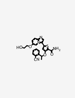 CC(Oc1cc(-c2cnc3ccc(OCCO)cn23)sc1C(N)=O)c1ccccc1C#N